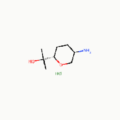 CC(C)(O)[C@@H]1CC[C@@H](N)CO1.Cl